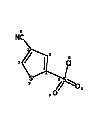 N#Cc1csc(S(=O)(=O)Cl)c1